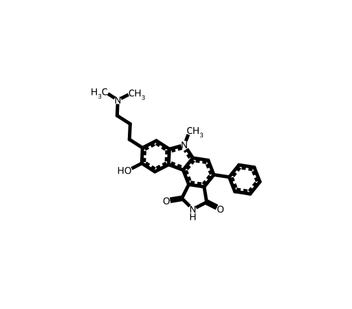 CN(C)CCCc1cc2c(cc1O)c1c3c(c(-c4ccccc4)cc1n2C)C(=O)NC3=O